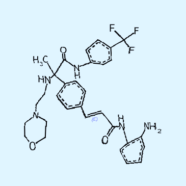 CC(NCCN1CCOCC1)(C(=O)Nc1ccc(C(F)(F)F)cc1)c1ccc(/C=C/C(=O)Nc2ccccc2N)cc1